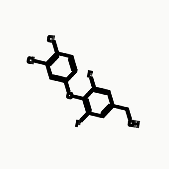 OCc1cc(F)c(Oc2ccc(Cl)c(Cl)c2)c(F)c1